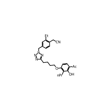 CCCc1c(OCCCCc2nnn(Cc3ccc(CC#N)c(CC)c3)n2)ccc(C(C)=O)c1O